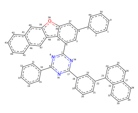 c1ccc(-c2cc(-c3nc(-c4ccccc4)nc(-c4cccc(-c5cccc6ccccc56)c4)n3)c3c(c2)oc2cc4ccccc4cc23)cc1